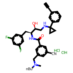 C#Cc1cccc(C2(NC[C@H](O)[C@H](Cc3cc(F)cc(F)c3)NC(=O)c3cc(C#N)cc(CN(C)CCCC)c3)CC2)c1.Cl.Cl